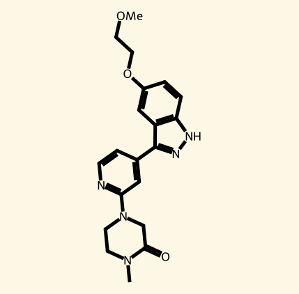 COCCOc1ccc2[nH]nc(-c3ccnc(N4CCN(C)C(=O)C4)c3)c2c1